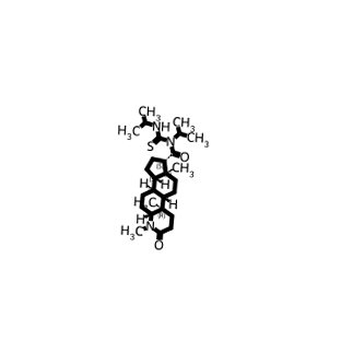 CC(C)NC(=S)N(C(=O)[C@H]1CC[C@H]2[C@@H]3CC[C@H]4N(C)C(=O)CC[C@]4(C)[C@H]3CC[C@]12C)C(C)C